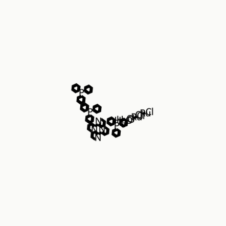 O.O.[Cl][Ru][Cl].[Cl][Ru][Cl].c1ccc(-c2ccccn2)nc1.c1ccc(-c2ccccn2)nc1.c1ccc(P(c2ccccc2)c2ccccc2)cc1.c1ccc(P(c2ccccc2)c2ccccc2)cc1.c1ccc(P(c2ccccc2)c2ccccc2)cc1